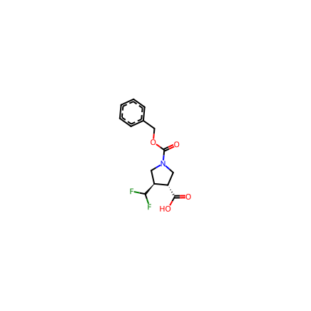 O=C(O)[C@H]1CN(C(=O)OCc2ccccc2)C[C@@H]1C(F)F